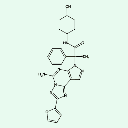 C[C@](C(=O)NC1CCC(O)CC1)(c1ccccc1)n1ncc2c1nc(N)n1nc(-c3ccco3)nc21